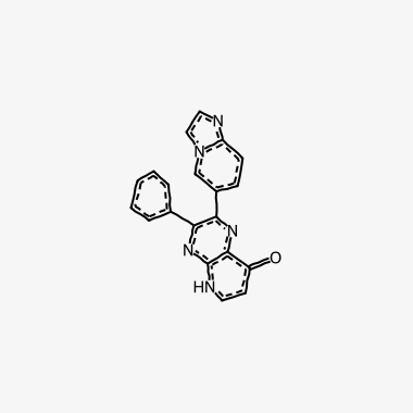 O=c1cc[nH]c2nc(-c3ccccc3)c(-c3ccc4nccn4c3)nc12